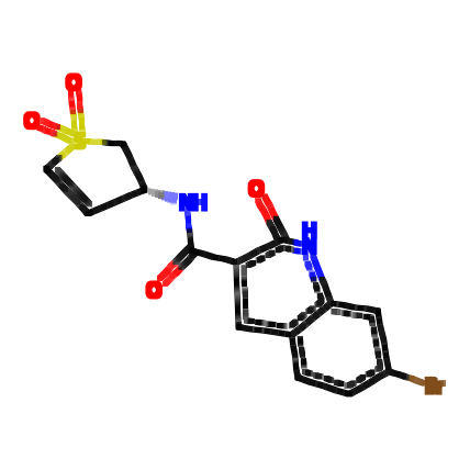 O=C(N[C@@H]1C=CS(=O)(=O)C1)c1cc2ccc(Br)cc2[nH]c1=O